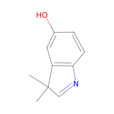 CC1(C)C=Nc2ccc(O)cc21